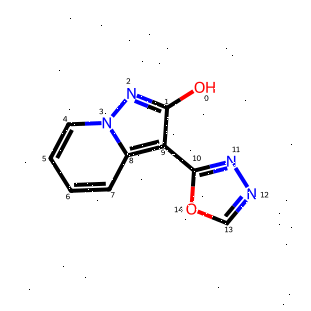 Oc1nn2ccccc2c1-c1nnco1